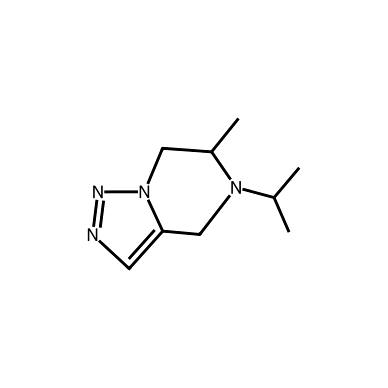 CC(C)N1Cc2cnnn2CC1C